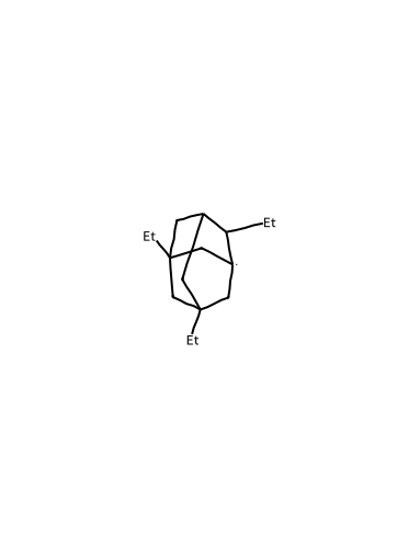 CCC1[C]2CC3(CC)CC1CC(CC)(C2)C3